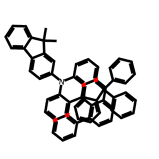 CC1(C)c2ccccc2-c2ccc(N(c3ccccc3-c3cccc4cccc(-c5ccccc5)c34)c3cccc4c3-c3ccccc3C4(c3ccccc3)c3ccccc3)cc21